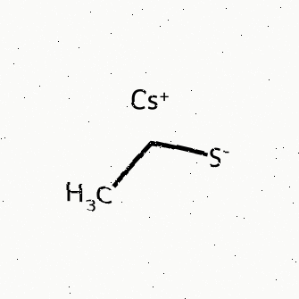 CC[S-].[Cs+]